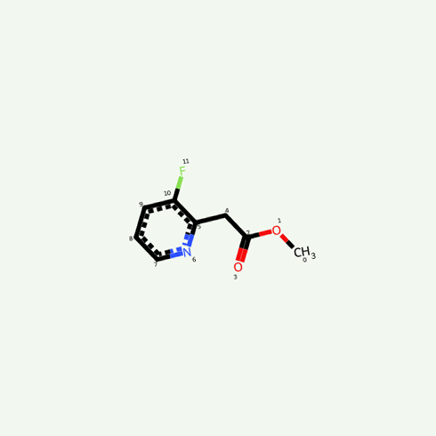 COC(=O)Cc1ncccc1F